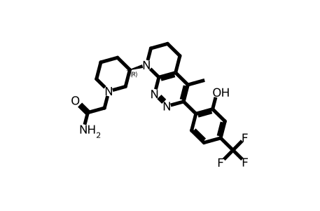 Cc1c(-c2ccc(C(F)(F)F)cc2O)nnc2c1CCCN2[C@@H]1CCCN(CC(N)=O)C1